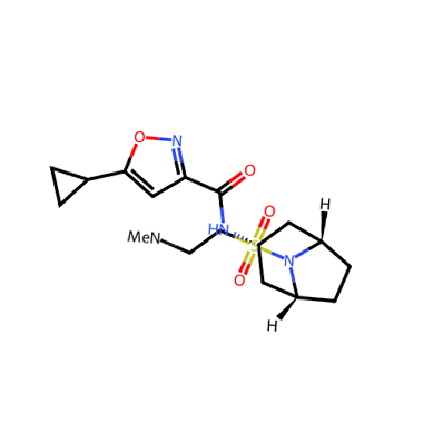 CNCCS(=O)(=O)N1[C@@H]2CC[C@H]1C[C@@H](NC(=O)c1cc(C3CC3)on1)C2